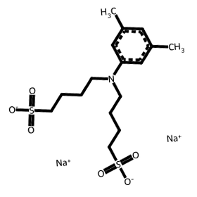 Cc1cc(C)cc(N(CCCCS(=O)(=O)[O-])CCCCS(=O)(=O)[O-])c1.[Na+].[Na+]